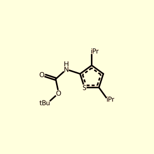 CC(C)c1cc(C(C)C)c(NC(=O)OC(C)(C)C)s1